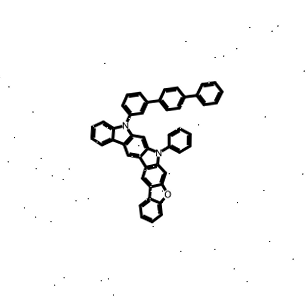 c1ccc(-c2ccc(-c3cccc(-n4c5ccccc5c5cc6c7cc8c(cc7n(-c7ccccc7)c6cc54)oc4ccccc48)c3)cc2)cc1